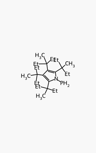 CCC(C)(CC)c1c(C(C)(CC)CC)c(C(C)(CC)CC)n(P)c1C(C)(CC)CC